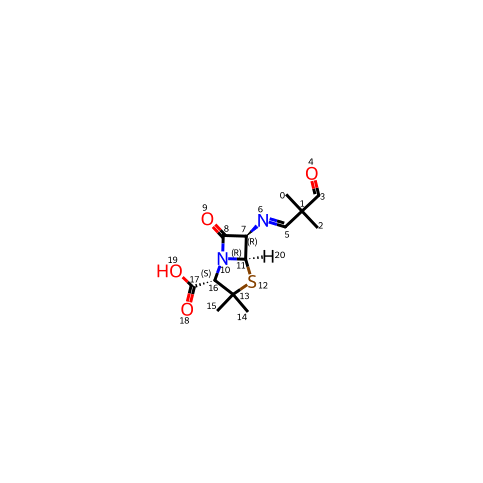 CC(C)(C=O)C=N[C@@H]1C(=O)N2[C@@H]1SC(C)(C)[C@@H]2C(=O)O